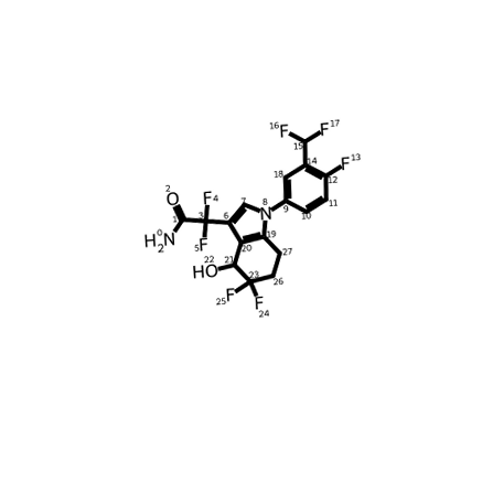 NC(=O)C(F)(F)c1cn(-c2ccc(F)c(C(F)F)c2)c2c1C(O)C(F)(F)CC2